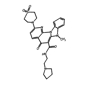 Cn1c2ccccc2n2c3nc(N4CCS(=O)(=O)CC4)ccc3c(=O)c(C(=O)NCCN3CCCC3)c12